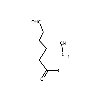 CC#N.O=CCCCCC(=O)Cl